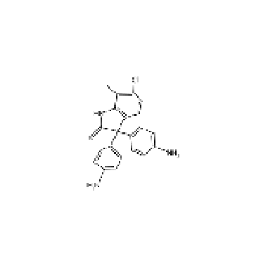 Cc1c(Cl)ccc2c1NC(=S)C2(c1ccc(N)cc1)c1ccc(N)cc1